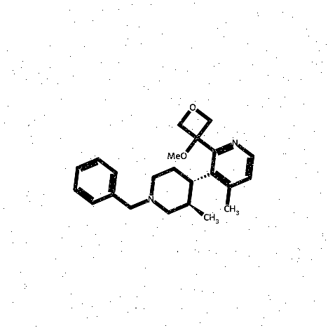 COC1(c2nccc(C)c2[C@H]2CCN(Cc3ccccc3)C[C@@H]2C)COC1